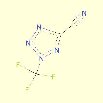 N#Cc1nnn(C(F)(F)F)n1